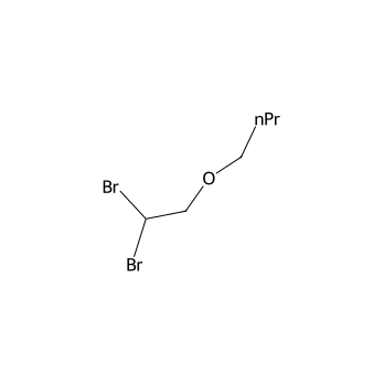 CCCCOCC(Br)Br